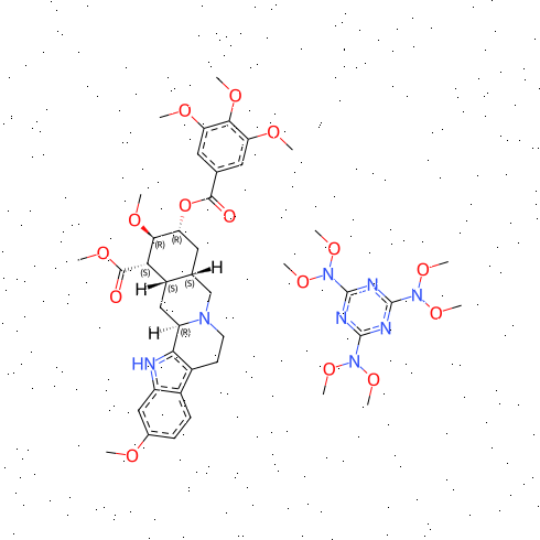 COC(=O)[C@H]1[C@H]2C[C@@H]3c4[nH]c5cc(OC)ccc5c4CCN3C[C@H]2C[C@@H](OC(=O)c2cc(OC)c(OC)c(OC)c2)[C@@H]1OC.CON(OC)c1nc(N(OC)OC)nc(N(OC)OC)n1